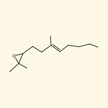 C[C]CC/C=C(\C)CCC1OC1(C)C